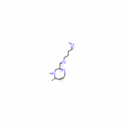 C/N=C\CCC/N=C/C1=N/C/C=C\[C@@H](C)N(C)C1